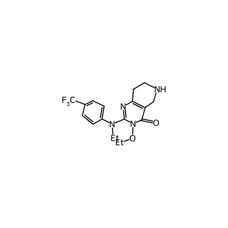 CCOn1c(N(CC)c2ccc(C(F)(F)F)cc2)nc2c(c1=O)CNCC2